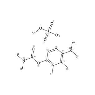 COS(=O)(=O)[O-].Cc1c(OC(=O)N(C)C)ccc([S+](C)C)c1C